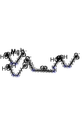 O=C(O)CCCCCCC/C=C\C/C=C\CCCCCP(=O)(O)O.O=C([O-])CCCCCCC/C=C\C/C=C\CCCCCP(=O)(O)O.O=C([O-])CCCCCCC/C=C\C/C=C\CCCCCP(=O)(O)OP(=O)(O)CCCCC/C=C\C/C=C\CCCCCCC(CCCCCC/C=C\CCCCCCCC(=O)[O-])C(=O)[O-].[Mg+2].[Mg+2]